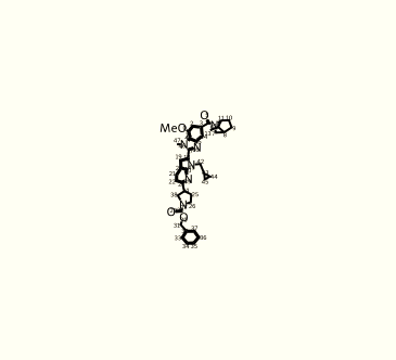 COc1cc(C(=O)N2CC3CCC2C3C)cc2nc(-c3cc4ccc(C5CCN(C(=O)OCc6ccccc6)C5)nc4n3CC3CC3)n(C)c12